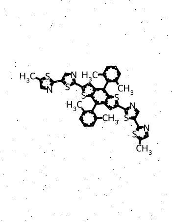 Cc1cnc(-c2cnc(-c3cc4c(-c5c(C)cccc5C)c5sc(-c6ncc(-c7ncc(C)s7)s6)cc5c(-c5c(C)cccc5C)c4s3)s2)s1